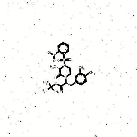 Cc1ccc(C[C@@H](C(=O)OC(C)(C)C)N2CCN(S(=O)(=O)c3ccccc3[N+](=O)[O-])[C@@H](C)C2=O)cc1C